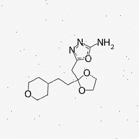 Nc1nnc(CC2(CCC3CCOCC3)OCCO2)o1